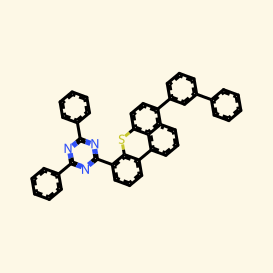 c1ccc(-c2cccc(-c3ccc4c5c(cccc35)-c3cccc(-c5nc(-c6ccccc6)nc(-c6ccccc6)n5)c3S4)c2)cc1